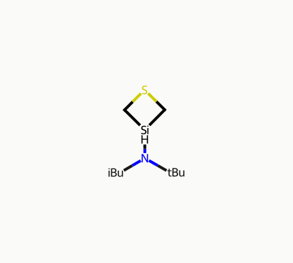 CCC(C)N([SiH]1CSC1)C(C)(C)C